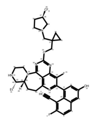 C#Cc1c(F)ccc2cc(O)cc(-c3nc4c5c(nc(OCC6(CN7CC[C@@H](C(F)(F)F)C7)CC6)nc5c3F)N3CCN[C@@H](CC)[C@H]3CC4)c12